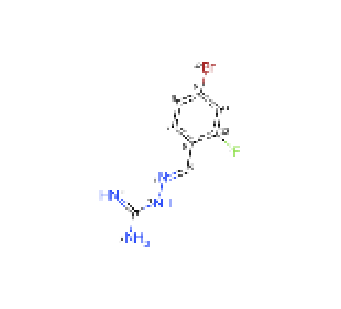 N=C(N)N/N=C/c1ccc(Br)cc1F